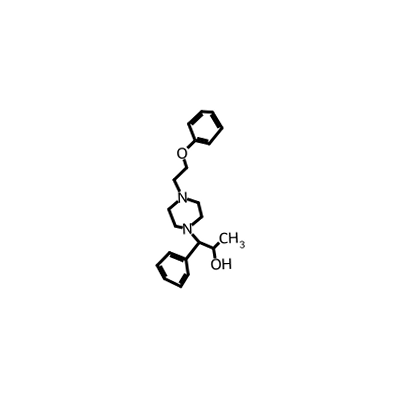 CC(O)C(c1ccccc1)N1CCN(CCOc2ccccc2)CC1